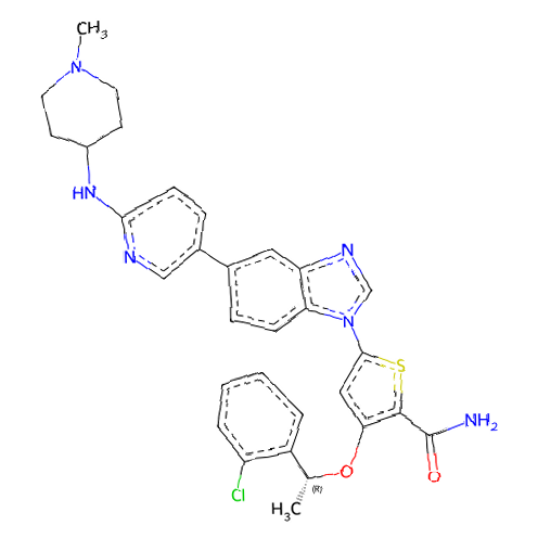 C[C@@H](Oc1cc(-n2cnc3cc(-c4ccc(NC5CCN(C)CC5)nc4)ccc32)sc1C(N)=O)c1ccccc1Cl